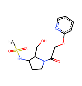 O=C(COc1ccccn1)N1CCC(NS(=O)(=O)C(F)(F)F)C1CO